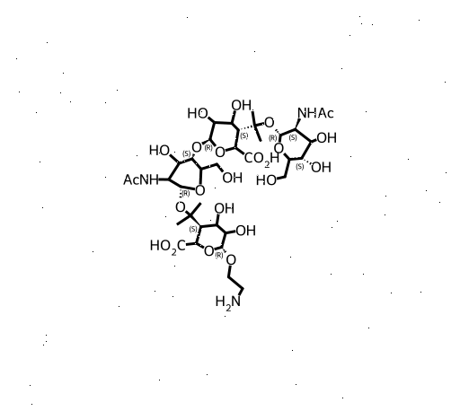 CC(=O)NC1C(O)[C@H](O[C@@H]2OC(C(=O)O)[C@@H](C(C)(C)O[C@H]3OC(CO)[C@@H](O)C(O)[C@@H]3NC(C)=O)C(O)C2O)C(CO)O[C@@H]1OC(C)(C)[C@@H]1C(C(=O)O)O[C@@H](OCCN)C(O)C1O